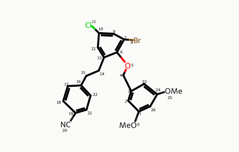 COc1cc(COc2c(Br)cc(Cl)cc2CCc2ccc(C#N)cc2)cc(OC)c1